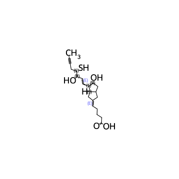 CC#CC[C@H](S)[C@H](O)/C=C/[C@H]1[C@H](O)CC2C/C(=C\CCCC(=O)O)C[C@@H]21